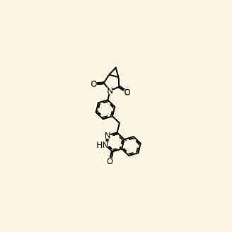 O=C1C2CC2C(=O)N1c1cccc(Cc2n[nH]c(=O)c3ccccc23)c1